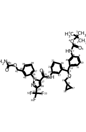 CC(C)(C)OC(=O)Nc1cccc(C(OCC2CC2)c2cccc(NC(=O)c3cc(C(F)(F)F)nn3-c3cccc(COC(N)=O)c3)c2)c1